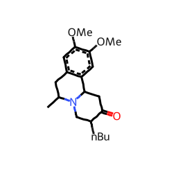 CCCCC1CN2C(C)Cc3cc(OC)c(OC)cc3C2CC1=O